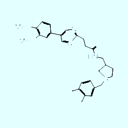 COc1ccc(-c2cnc(CCC(=O)NCC3CCN(Cc4ccc(Cl)c(Cl)c4)C3)nc2)cc1OC